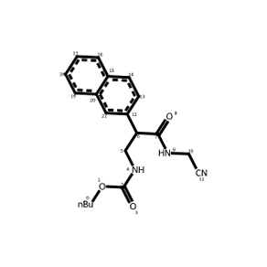 CCCCOC(=O)NCC(C(=O)NCC#N)c1ccc2ccccc2c1